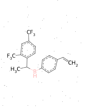 C=Cc1ccc(BC(C)c2ccc(C(F)(F)F)cc2C(F)(F)F)cc1